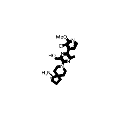 COc1nccc(-c2nc(CO)c(N3CCC4(CCC[C@H]4N)CC3)nc2C)c1Cl